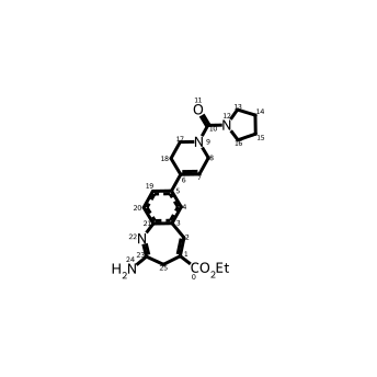 CCOC(=O)C1=Cc2cc(C3=CCN(C(=O)N4CCCC4)CC3)ccc2N=C(N)C1